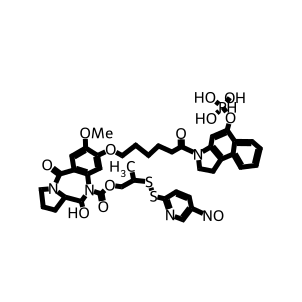 COc1cc2c(cc1OCCCCCC(=O)N1CCc3c1cc(O[PH](O)(O)O)c1ccccc31)N(C(=O)OCC(C)SSc1ccc(N=O)cn1)C(O)C1CCCN1C2=O